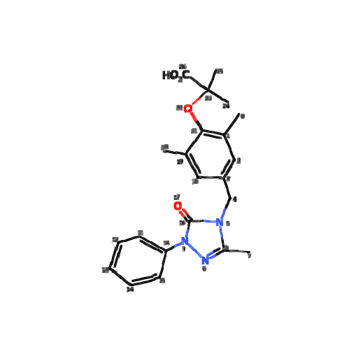 Cc1cc(Cn2c(C)nn(-c3ccccc3)c2=O)cc(C)c1OC(C)(C)C(=O)O